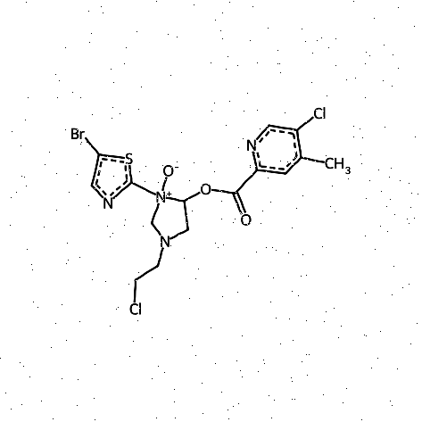 Cc1cc(C(=O)OC2CN(CCCl)C[N+]2([O-])c2ncc(Br)s2)ncc1Cl